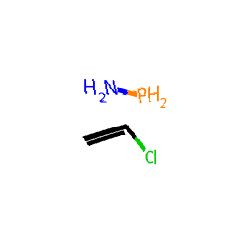 C=CCl.NP